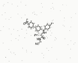 CC(C)C[C@H](N[C@H](c1ccc(F)cc1)c1ccc(-c2ccc([S+](C)[O-])cc2)cc1)C(=O)NCC#N